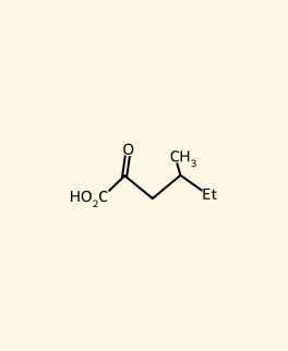 CCC(C)CC(=O)C(=O)O